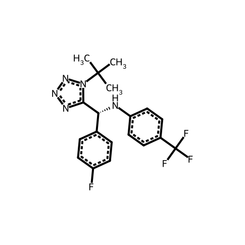 CC(C)(C)n1nnnc1[C@H](Nc1ccc(C(F)(F)F)cc1)c1ccc(F)cc1